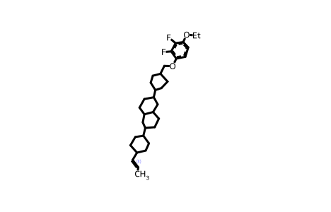 C/C=C/C1CCC(C2CCC3CC(C4CCC(COc5ccc(OCC)c(F)c5F)CC4)CCC3C2)CC1